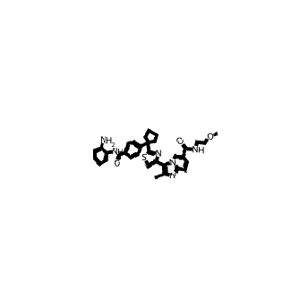 COCCNC(=O)c1ccc2nc(C)c(-c3csc(C4(c5ccc(C(=O)Nc6ccccc6N)cc5)CCCC4)n3)n2c1